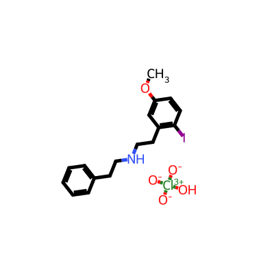 COc1ccc(I)c(CCNCCc2ccccc2)c1.[O-][Cl+3]([O-])([O-])O